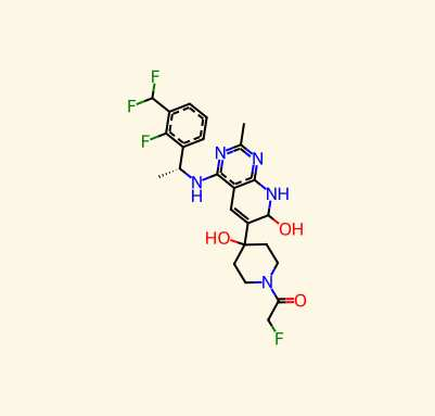 Cc1nc2c(c(N[C@H](C)c3cccc(C(F)F)c3F)n1)C=C(C1(O)CCN(C(=O)CF)CC1)C(O)N2